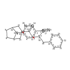 N#Cc1ccc(N2C3CCC2CN(C(=O)C[S+]([O-])Cc2ccccc2)C3)nc1